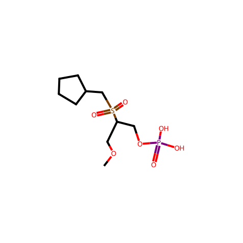 COCC(COP(=O)(O)O)S(=O)(=O)CC1CCCC1